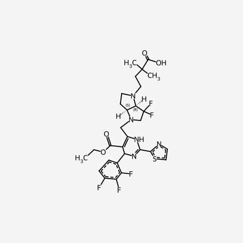 CCOC(=O)C1=C(CN2CC(F)(F)[C@H]3[C@@H]2CCN3CCC(C)(C)C(=O)O)NC(c2nccs2)=NC1c1ccc(F)c(F)c1F